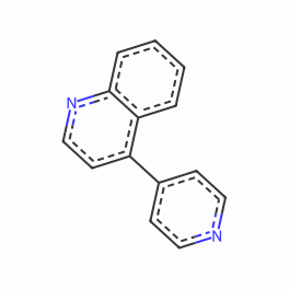 c1ccc2c(-c3ccncc3)ccnc2c1